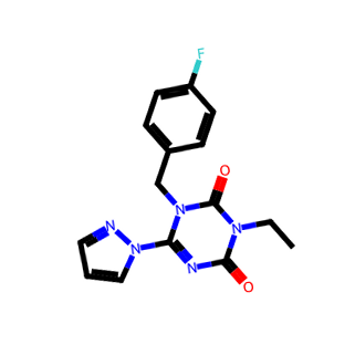 CCn1c(=O)nc(-n2cccn2)n(Cc2ccc(F)cc2)c1=O